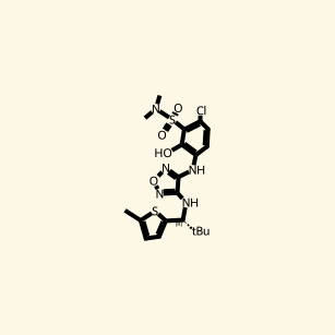 Cc1ccc([C@H](Nc2nonc2Nc2ccc(Cl)c(S(=O)(=O)N(C)C)c2O)C(C)(C)C)s1